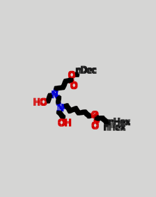 CCCCCCCCCCCOC(=O)CCCN(CCO)CCN(CCO)CCCCCCOC(=O)CC(CCCCCC)CCCCCC